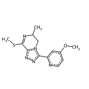 COc1ccnc(-c2nnc3n2CC(C)N=C3SC)c1